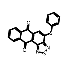 O=C1c2ccccc2C(=O)c2c1cc(Sc1ccccc1)c1nsnc21